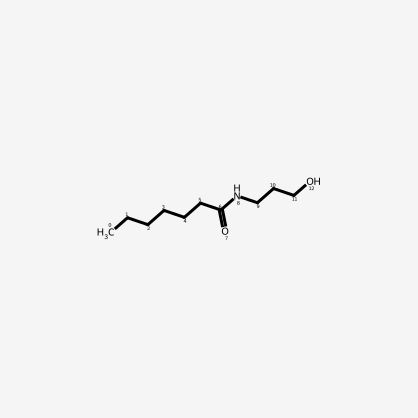 CCCCCCC(=O)NCCCO